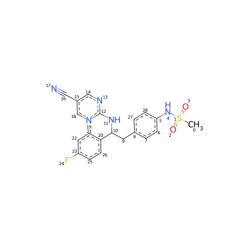 CS(=O)(=O)Nc1ccc(CC(Nc2ncc(C#N)cn2)c2ccc(F)cc2)cc1